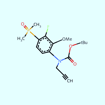 C#CCN(C(=O)OC(C)(C)C)c1ccc(P(C)(C)=O)c(F)c1OC